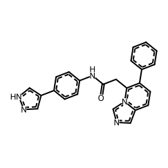 O=C(Cc1c(-c2ccccc2)ccc2cncn12)Nc1ccc(-c2cn[nH]c2)cc1